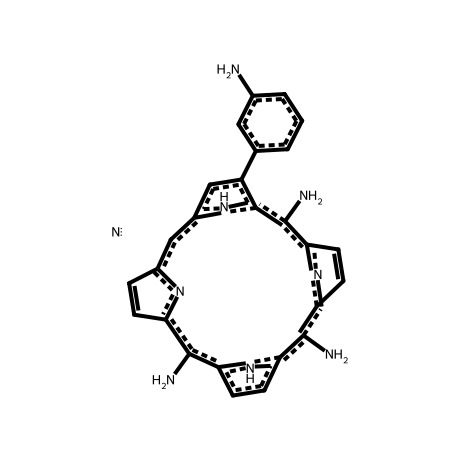 Nc1cccc(-c2cc3cc4nc(c(N)c5ccc([nH]5)c(N)c5nc(c(N)c2[nH]3)C=C5)C=C4)c1.[N]